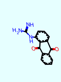 N=C(N)Nc1cccc2c1C(=O)c1ccccc1C2=O